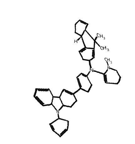 CN1CCCC=C1N(C1=CC=C(C2=CC3C4C=CC=CC4N(C4C=CC=CC4)C3CC2)CC1)C1C=C2C(=CC1)[C@@H]1CCC=CC1C2(C)C